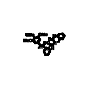 COc1cc([C@H](C)C(=O)N2CCCC[C@H]2C(=O)N[C@@H](Cc2ccccc2)C(N)=O)cc(OC)c1OC